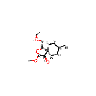 COCC(=O)C1(C(=O)COC)CCC(C)CC1